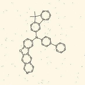 CC1(C)c2ccccc2-c2cc(N(c3ccc(-c4ccccc4)cc3)c3ccc4oc5cc6cnccc6cc5c4c3)ccc21